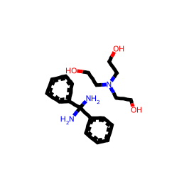 NC(N)(c1ccccc1)c1ccccc1.OCCN(CCO)CCO